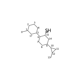 CC1CCCC(C2CCC(C3CC3C)CC2S)C1